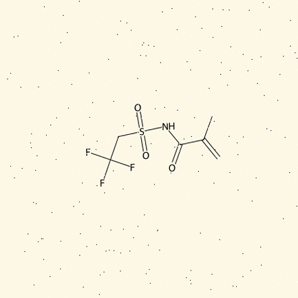 C=C(C)C(=O)NS(=O)(=O)CC(F)(F)F